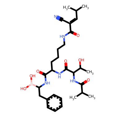 CC(C)C=C(C#N)C(=O)NCCCCC(NC(=O)C(NC(=O)C(C)C)C(C)O)C(=O)NC(Cc1ccccc1)B(O)O